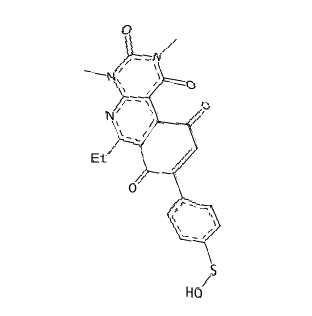 CCc1nc2c(c3c1C(=O)C(c1ccc(SO)cc1)=CC3=O)c(=O)n(C)c(=O)n2C